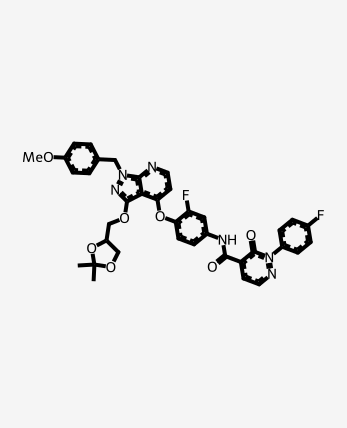 COc1ccc(Cn2nc(OCC3COC(C)(C)O3)c3c(Oc4ccc(NC(=O)c5ccnn(-c6ccc(F)cc6)c5=O)cc4F)ccnc32)cc1